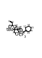 C=CC(=O)OC1(C(C)(C)C)COC(OCC2CCCCC2)(C(F)(F)F)C1(F)F